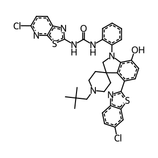 CC(C)(C)CN1CCC2(CC1)CN(c1ccccc1NC(=O)Nc1nc3ccc(Cl)nc3s1)c1c(O)ccc(-c3nc4ccc(Cl)cc4s3)c12